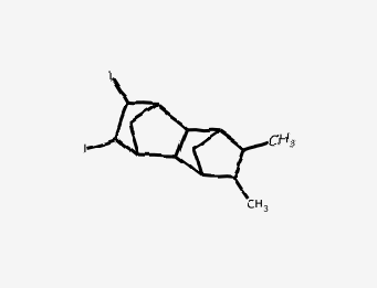 CC1C(C)C2CC1C1C3CC(C(I)C3I)C21